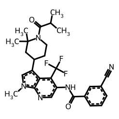 CC(C)C(=O)N1CCC(c2cn(C)c3ncc(NC(=O)c4cccc(C#N)c4)c(C(F)(F)F)c23)CC1(C)C